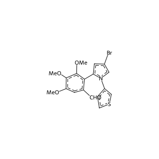 COc1cc(C=O)c(-c2cc(Br)cn2-c2ccsc2)c(OC)c1OC